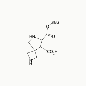 CCCCOC(=O)C1NCC2(CNC2)C1C(=O)O